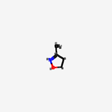 [CH2]C1=NOCC1